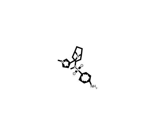 CN(C1CC2CCC(C1)N2Cc1ccn(C)c1)S(=O)(=O)c1ccc(N)cc1